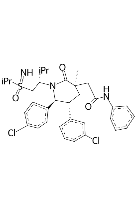 CC(C)[C@@H](CS(=N)(=O)C(C)C)N1C(=O)[C@@](C)(CC(=O)Nc2ccccc2)C[C@H](c2cccc(Cl)c2)[C@H]1c1ccc(Cl)cc1